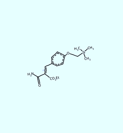 CCOC(=O)/C(=C\c1ccc(OC[Si](C)(C)C)cc1)C(N)=O